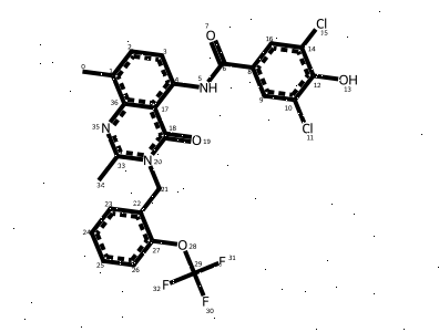 Cc1ccc(NC(=O)c2cc(Cl)c(O)c(Cl)c2)c2c(=O)n(Cc3ccccc3OC(F)(F)F)c(C)nc12